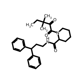 CCC(C)(C)C(=O)C(=O)N1CCCCC1C(=O)NCCC(c1ccccc1)c1ccccc1